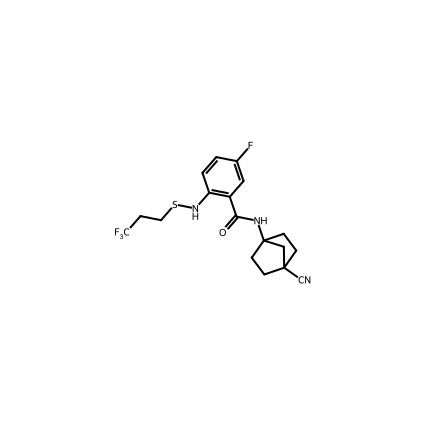 N#CC12CCC(NC(=O)c3cc(F)ccc3NSCCC(F)(F)F)(CC1)C2